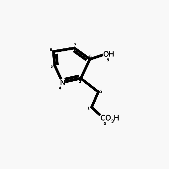 O=C(O)CCc1ncccc1O